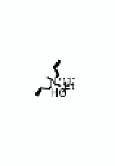 C=CC[N+](C)(C)CC=C.[CH2]CO.[Cl-]